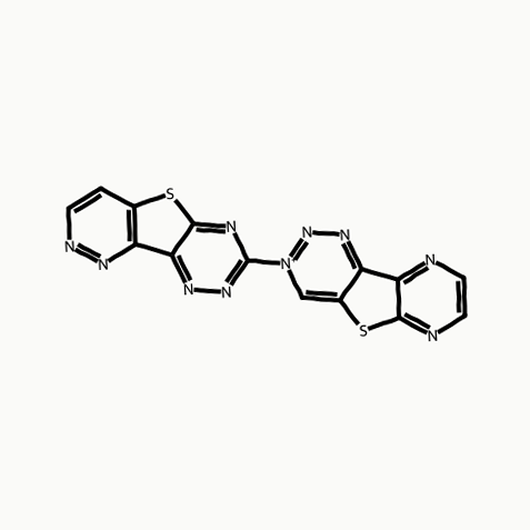 c1cc2sc3nc(-[n+]4cc5sc6nccnc6c5nn4)nnc3c2nn1